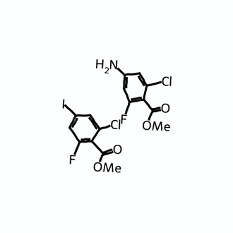 COC(=O)c1c(F)cc(I)cc1Cl.COC(=O)c1c(F)cc(N)cc1Cl